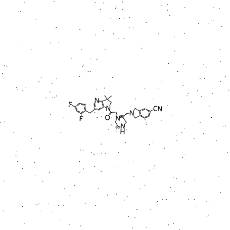 C[C@@H]1CN(CC(=O)N2CC(C)(C)c3ncc(Cc4ccc(F)cc4F)cc32)[C@@H](CN2Cc3ccc(C#N)cc3C2)CN1